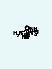 Br.Br.N=C(Nc1cccc(CCN)c1)c1cccs1